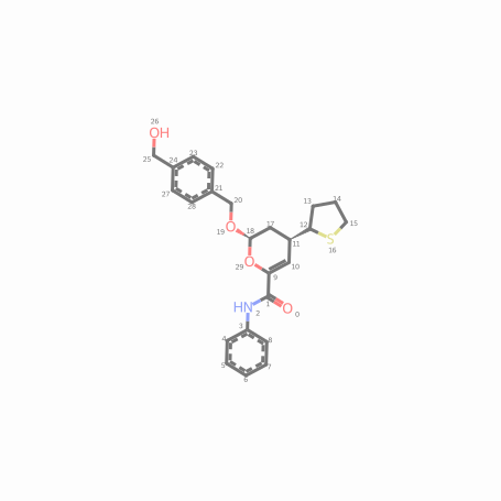 O=C(Nc1ccccc1)C1=C[C@H](C2CCCS2)C[C@H](OCc2ccc(CO)cc2)O1